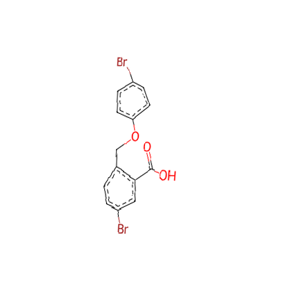 O=C(O)c1cc(Br)ccc1COc1ccc(Br)cc1